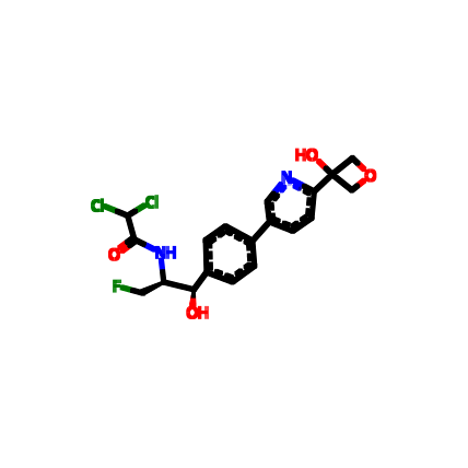 O=C(N[C@H](CF)[C@H](O)c1ccc(-c2ccc(C3(O)COC3)nc2)cc1)C(Cl)Cl